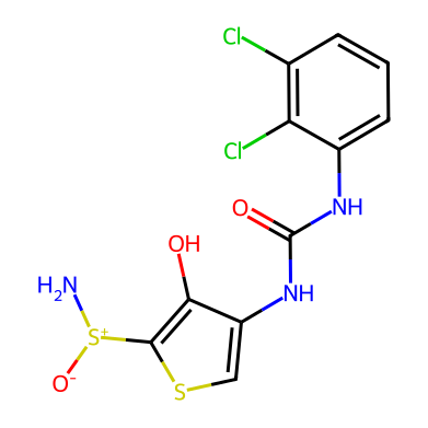 N[S+]([O-])c1scc(NC(=O)Nc2cccc(Cl)c2Cl)c1O